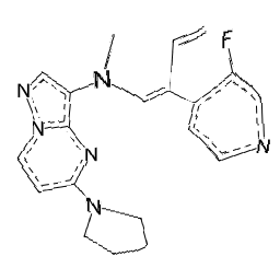 C=C/C(=C\N(C)c1cnn2ccc(N3CCCC3)nc12)c1ccncc1F